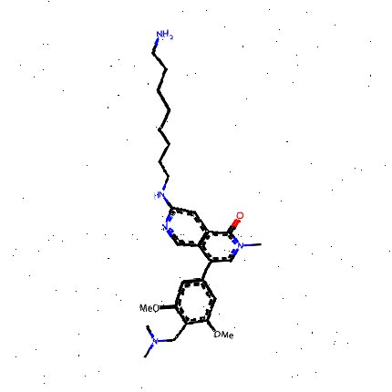 COc1cc(-c2cn(C)c(=O)c3cc(NCCCCCCCCN)ncc23)cc(OC)c1CN(C)C